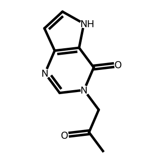 CC(=O)Cn1cnc2cc[nH]c2c1=O